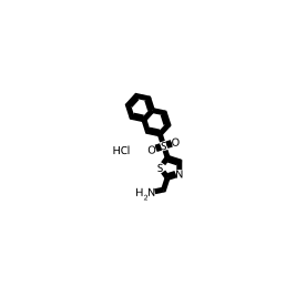 Cl.NCc1ncc(S(=O)(=O)c2ccc3ccccc3c2)s1